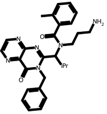 Cc1ccccc1C(=O)N(CCCN)C(c1nc2nccnc2c(=O)n1Cc1ccccc1)C(C)C